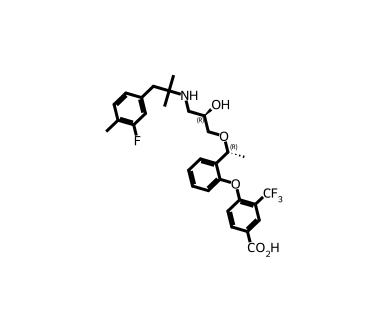 Cc1ccc(CC(C)(C)NC[C@@H](O)CO[C@H](C)c2ccccc2Oc2ccc(C(=O)O)cc2C(F)(F)F)cc1F